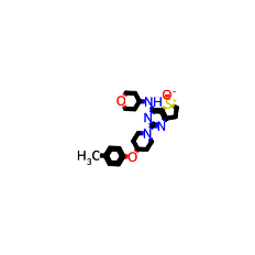 Cc1ccc(OC2CCN(c3nc4c(c(NC5CCOCC5)n3)[S+]([O-])CC4)CC2)cc1